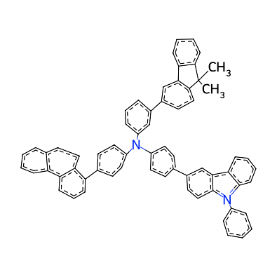 CC1(C)c2ccccc2-c2cc(-c3cccc(N(c4ccc(-c5ccc6c(c5)c5ccccc5n6-c5ccccc5)cc4)c4ccc(-c5cccc6c5ccc5ccccc56)cc4)c3)ccc21